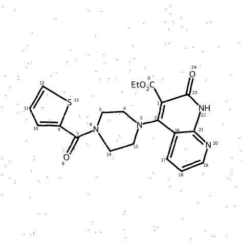 CCOC(=O)c1c(N2CCN(C(=O)c3cccs3)CC2)c2cccnc2[nH]c1=O